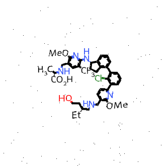 CC[C@H](CCO)CNCc1ccc(-c2cccc(-c3cccc4c3CC[C@@H]4Nc3nc(OC)c(CN[C@@H](C)C(=O)O)cc3C(F)(F)F)c2Cl)nc1OC